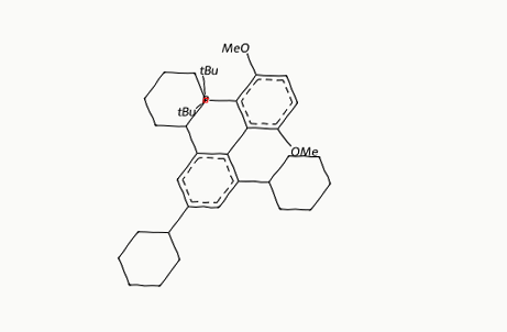 COc1ccc(OC)c(P(C(C)(C)C)C(C)(C)C)c1-c1c(C2CCCCC2)cc(C2CCCCC2)cc1C1CCCCC1